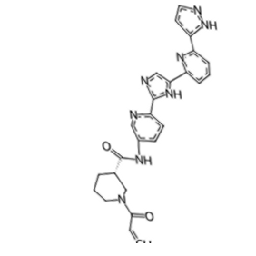 C=CC(=O)N1CCC[C@H](C(=O)Nc2ccc(-c3ncc(-c4cccc(-c5ccn[nH]5)n4)[nH]3)nc2)C1